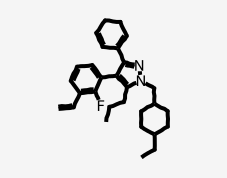 C=Cc1cccc(-c2c(C3=CCCC=C3)nn(CC3CCC(CC)CC3)c2CCC)c1F